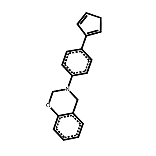 C1=CC(c2ccc(N3COc4ccccc4C3)cc2)=CC1